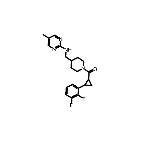 Cc1cnc(NCC2CCN(C(=O)C3CC3c3cccc(F)c3F)CC2)nc1